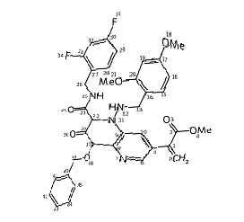 C=C(C(=O)OC)c1cnc2c(c1)N(NCc1ccc(OC)cc1OC)C(C(=O)NCc1ccc(F)cc1F)C(=O)C2OCc1ccccc1